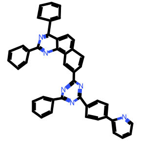 c1ccc(-c2nc(-c3ccc(-c4ccccn4)cc3)nc(-c3ccc4ccc5c(-c6ccccc6)nc(-c6ccccc6)nc5c4c3)n2)cc1